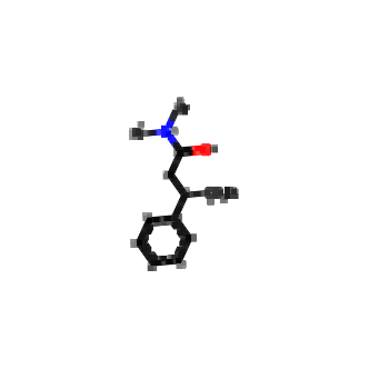 CCOC(=O)C(CC(=O)N(C(C)C)C(C)C)c1ccccc1